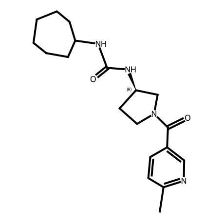 Cc1ccc(C(=O)N2CC[C@@H](NC(=O)NC3CCCCCC3)C2)cn1